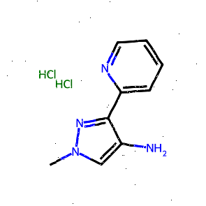 Cl.Cl.Cn1cc(N)c(-c2ccccn2)n1